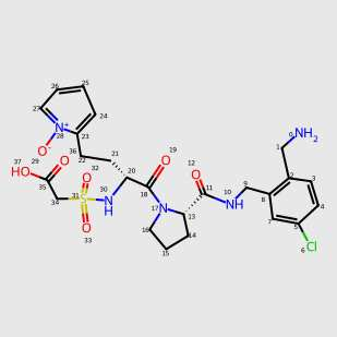 NCc1ccc(Cl)cc1CNC(=O)[C@@H]1CCCN1C(=O)[C@@H](CCc1cccc[n+]1[O-])NS(=O)(=O)CC(=O)O